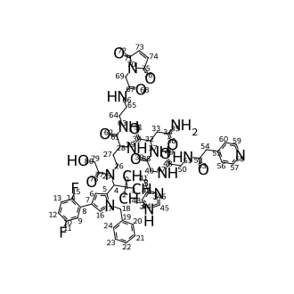 CC(C)(C)C(c1cc(-c2cc(F)ccc2F)cn1Cc1ccccc1)N(CCC(NC(=O)C(CC(N)=O)NC(=O)[C@@H](Cc1c[nH]cn1)NC(=O)CNC(=O)Cc1ccncc1)C(=O)NCCNC(=O)CN1C(=O)C=CC1=O)C(=O)CO